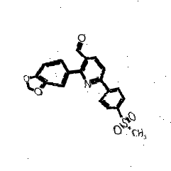 CS(=O)(=O)c1ccc(-c2ccc(C=O)c(-c3ccc4c(c3)OCO4)n2)cc1